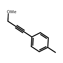 COCC#Cc1ccc(C)cc1